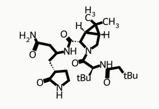 CC(C)(C)CC(=O)N[C@H](C(=O)N1C[C@H]2[C@@H]([C@H]1C(=O)NC(CC(N)=O)C[C@@H]1CCNC1=O)C2(C)C)C(C)(C)C